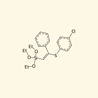 CCO[Si](C=C(Sc1ccc(Cl)cc1)c1ccccc1)(OCC)OCC